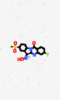 CS(=O)(=O)c1ccc2c(c1)/C(=N\O)c1nc3cc(F)ccc3c(=O)n1-2